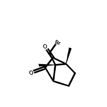 C[C@]12CCC(C(=O)C1=O)[C@]2(C)CBr